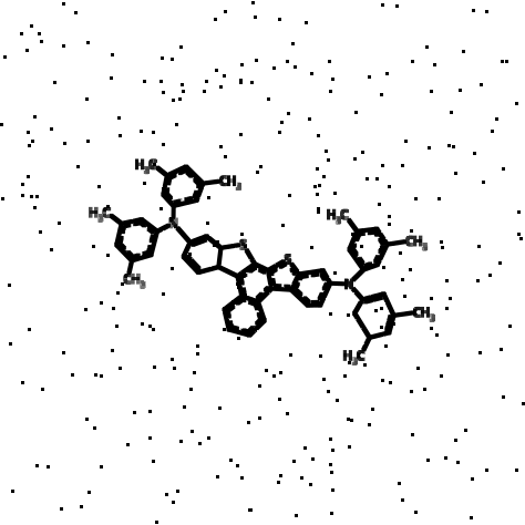 CC1=CC(C)CC(N(c2cc(C)cc(C)c2)c2ccc3c(c2)sc2c4c(c5ccccc5c23)C2C=CC(N(c3cc(C)cc(C)c3)c3cc(C)cc(C)c3)=CC2S4)=C1